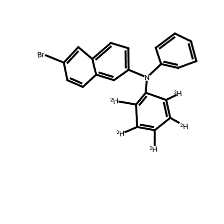 [2H]c1c([2H])c([2H])c(N(c2ccccc2)c2ccc3cc(Br)ccc3c2)c([2H])c1[2H]